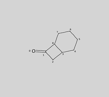 O=C1CC2CCCCC12